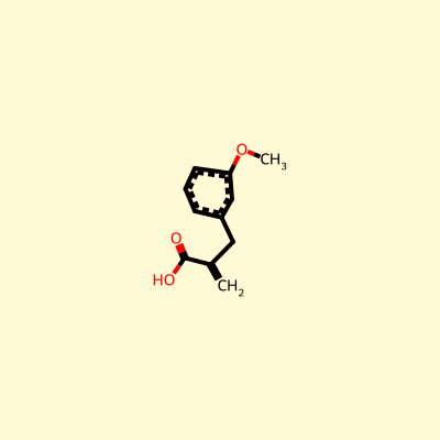 C=C(Cc1cccc(OC)c1)C(=O)O